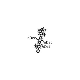 CCCCCCCCCCCCc1c2cc(-c3c(OCCCCCCCC)c(C)c(-c4ccccc4)c4nsnc34)sc2c(CCCCCCCCCCCC)c2cc(-c3c(C)c(OCCCCCCCC)c(-c4ccc(C)s4)c4nsnc34)sc12